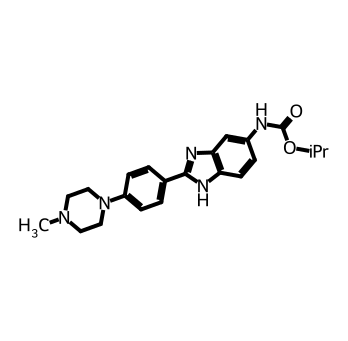 CC(C)OC(=O)Nc1ccc2[nH]c(-c3ccc(N4CCN(C)CC4)cc3)nc2c1